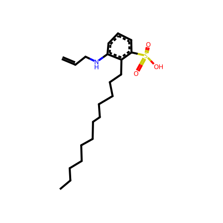 C=CCNc1cccc(S(=O)(=O)O)c1CCCCCCCCCCCC